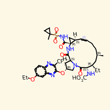 CCOc1ccc2nc(C(F)(F)F)c(O[C@@H]3C[C@H]4C(=O)N[C@]5(C(=O)NS(=O)(=O)C6(C)CC6)C[C@H]5/C=C\CC[C@@H](C)C[C@@H](CC)[C@H](NC(=O)O)C(=O)N4C3)nc2c1